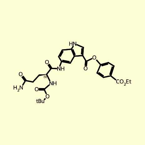 CCOC(=O)c1ccc(OC(=O)c2c[nH]c3ccc(NC(=O)[C@H](CCC(N)=O)NC(=O)OC(C)(C)C)cc23)cc1